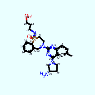 Cc1ccc2nc(N3CCS(=O)(=NCCCO)c4ccccc4C3)nc(N3CC[C@@H](N)C3)c2c1